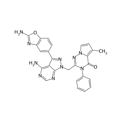 Cc1ccn2nc(Cn3nc(-c4ccc5oc(N)nc5c4)c4c(N)ncnc43)n(-c3ccccc3)c(=O)c12